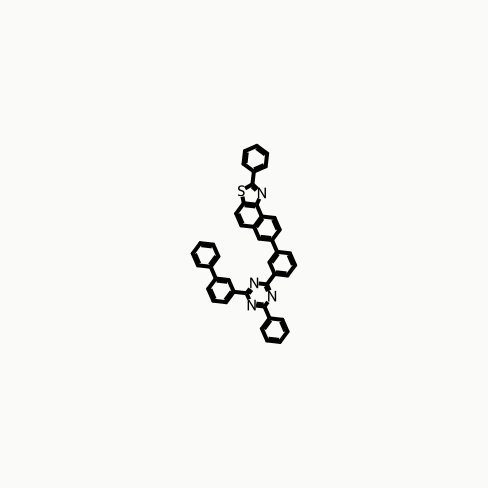 c1ccc(-c2cccc(-c3nc(-c4ccccc4)nc(-c4cccc(-c5ccc6c(ccc7sc(-c8ccccc8)nc76)c5)c4)n3)c2)cc1